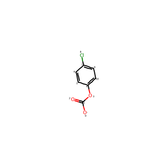 [O]C(=O)Oc1ccc(Cl)cc1